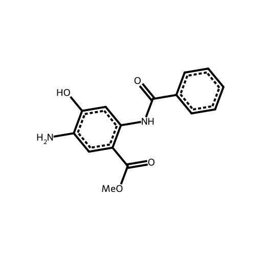 COC(=O)c1cc(N)c(O)cc1NC(=O)c1ccccc1